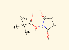 COC(C)(C)C(=O)ON1C(=O)CCC1=O